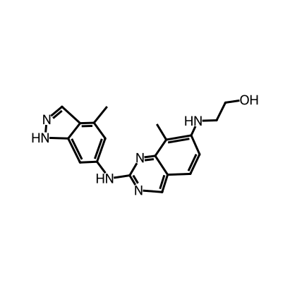 Cc1cc(Nc2ncc3ccc(NCCO)c(C)c3n2)cc2[nH]ncc12